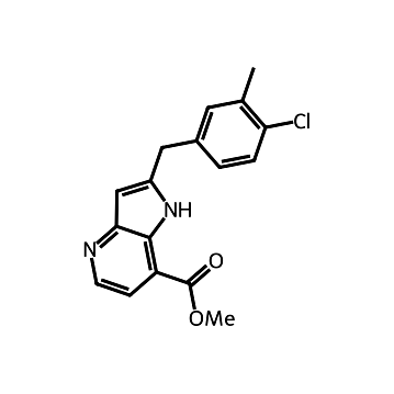 COC(=O)c1ccnc2cc(Cc3ccc(Cl)c(C)c3)[nH]c12